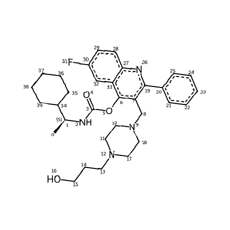 C[C@H](NC(=O)Oc1c(CN2CCN(CCCO)CC2)c(-c2ccccc2)nc2ccc(F)cc12)C1CCCCC1